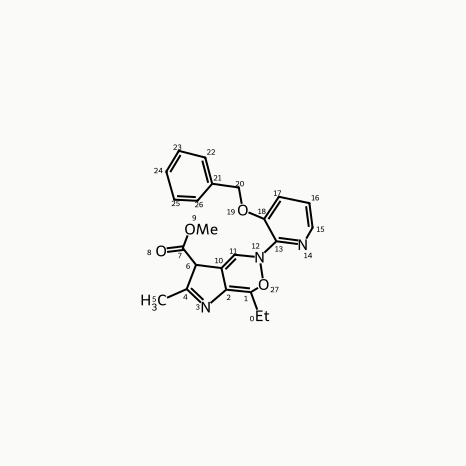 CCC1=C2N=C(C)C(C(=O)OC)C2=CN(c2ncccc2OCc2ccccc2)O1